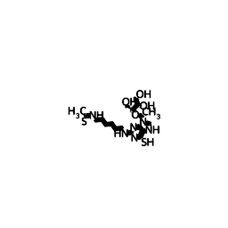 CC(=S)NCCCCCCNc1nc(S)c2c(n1)N(C(C)O[C@H](CO)[C@H](O)CO)CN2